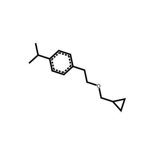 CC(C)c1ccc(CCOCC2CC2)cc1